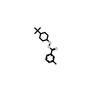 Cc1cccc(C(=O)OO[C]2CCC(C(C)(C)C)CC2)c1